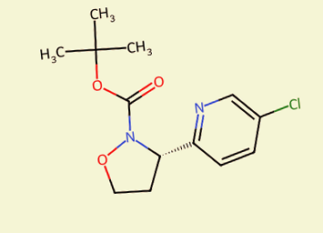 CC(C)(C)OC(=O)N1OCC[C@H]1c1ccc(Cl)cn1